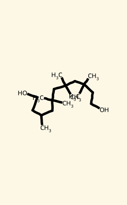 CC(CCO)CC(C)(C)CC(C)(C)CC(C)(C)CCO